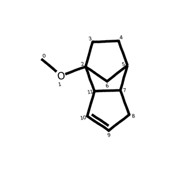 COC12CCC(C1)C1CC=CC12